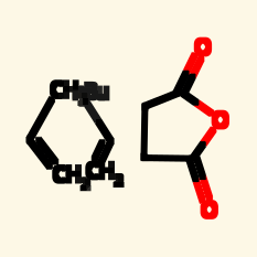 C=CC.C=CCCCC.O=C1CCC(=O)O1